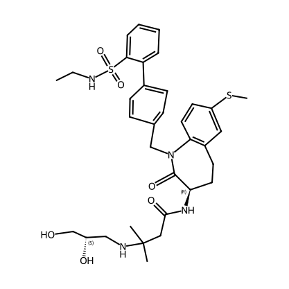 CCNS(=O)(=O)c1ccccc1-c1ccc(CN2C(=O)[C@H](NC(=O)CC(C)(C)NC[C@H](O)CO)CCc3cc(SC)ccc32)cc1